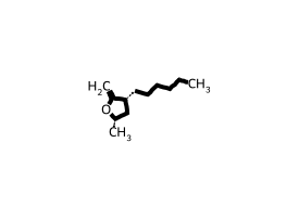 C=C1O[C@@H](C)C[C@H]1CCCCCC